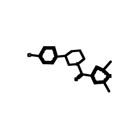 Cc1cc(C(=O)N2CCCC(c3ccc(Cl)cc3)C2)cc(C)n1